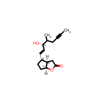 CC#CCC(C)[C@@H](O)C=C[C@H]1CC[C@@H]2OC(=O)C[C@@H]21